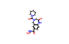 O=C1CN(C(=O)N2CCCCC2)Cc2cc(C(=O)NO)ccc2N1